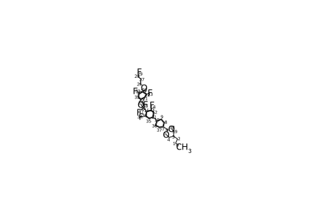 CCCC1COC(c2ccc(-c3cc(F)c(C(F)(F)Oc4cc(F)c(OCCCF)c(F)c4)c(F)c3)cc2)OC1